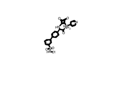 CCNS(=O)(=O)c1cccc(-c2ccc(C(Nc3c(Nc4ccncc4)c(=O)c3=O)C(N)=O)cc2)c1